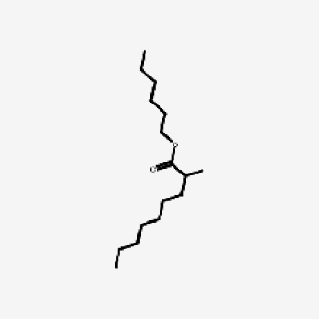 CCCCCCCC(C)C(=O)OCCCCCC